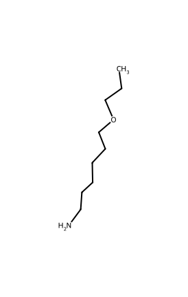 CCCOCCCCCCN